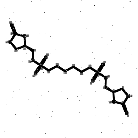 O=C1OC[C@H](COS(=O)(=O)CCCCCCS(=O)(=O)OC[C@H]2COC(=O)O2)O1